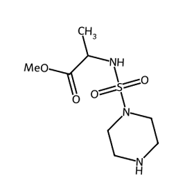 COC(=O)C(C)NS(=O)(=O)N1CCNCC1